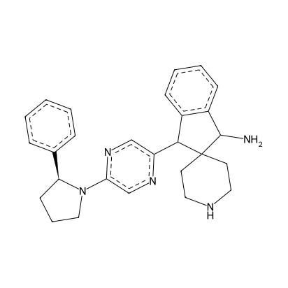 NC1c2ccccc2C(c2cnc(N3CCC[C@H]3c3ccccc3)cn2)C12CCNCC2